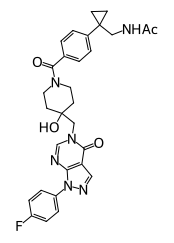 CC(=O)NCC1(c2ccc(C(=O)N3CCC(O)(Cn4cnc5c(cnn5-c5ccc(F)cc5)c4=O)CC3)cc2)CC1